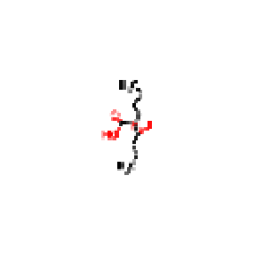 CCCCC(CCCC)C(=O)O.O